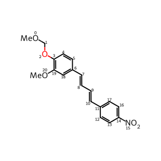 COCOc1ccc(C=CC=Cc2ccc([N+](=O)[O-])cc2)cc1OC